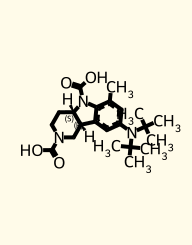 Cc1cc(N(C(C)(C)C)C(C)(C)C)cc2c1N(C(=O)O)[C@H]1CCN(C(=O)O)C[C@@H]21